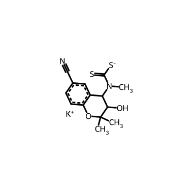 CN(C(=S)[S-])C1c2cc(C#N)ccc2OC(C)(C)C1O.[K+]